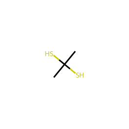 CC(C)(S)S